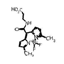 CC1=[N+]2C(=C(C(=O)NCCC(=O)O)c3ccc(C)n3[B-]2(F)F)C=C1